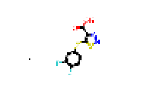 O=C(O)c1nnsc1Sc1ccc(F)c(F)c1